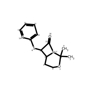 CC1(C)OCCC2C(Sc3ccccn3)C(=O)N21